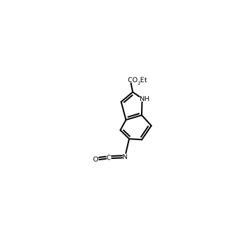 CCOC(=O)c1cc2cc(N=C=O)ccc2[nH]1